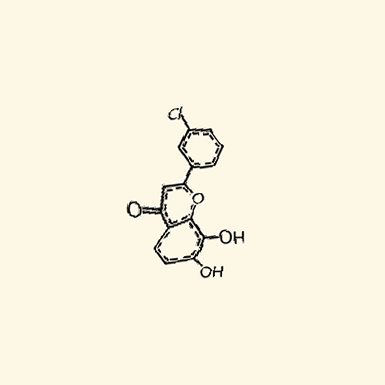 O=c1cc(-c2cccc(Cl)c2)oc2c(O)c(O)ccc12